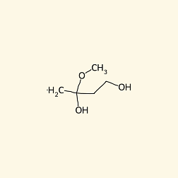 [CH2]C(O)(CCO)OC